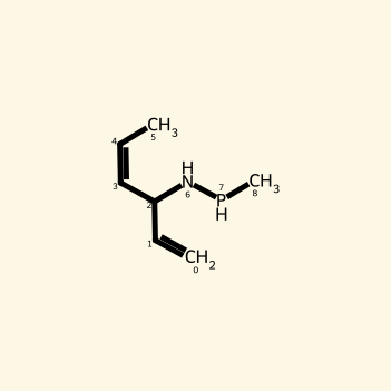 C=CC(/C=C\C)NPC